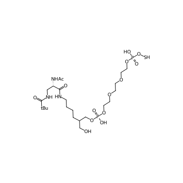 CC(=O)N[C@@H](CNC(=O)C(C)(C)C)C(=O)NCCCCC(CO)COP(=O)(O)OCCOCCOCCOP(=O)(O)OS